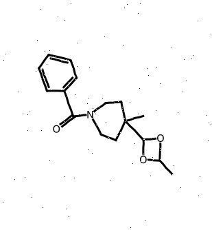 CC1OC(C2(C)CCN(C(=O)c3ccccc3)CC2)O1